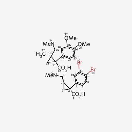 CNC[C@@H]1C[C@]1(C(=O)O)c1ccc(Br)c(Br)c1.CNC[C@]1(C)C[C@@]1(C(=O)O)c1ccc(OC)c(OC)c1